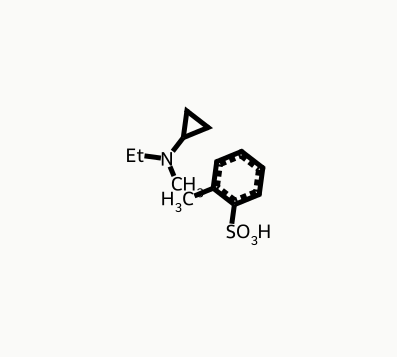 CCN(C)C1CC1.Cc1ccccc1S(=O)(=O)O